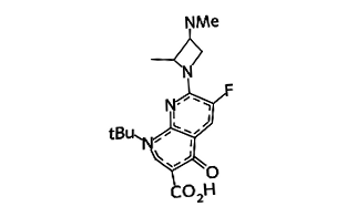 CNC1CN(c2nc3c(cc2F)c(=O)c(C(=O)O)cn3C(C)(C)C)C1C